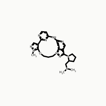 CN(C)CC1CCCN1c1nn2c3cc(ncc13)Nc1ccnc(n1)-c1cnn(C)c1OCCC2